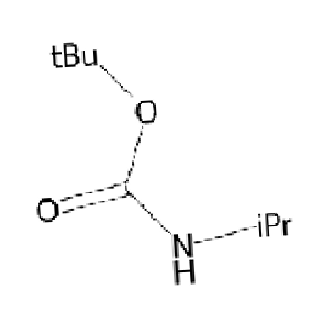 [CH2]C(C)NC(=O)OC(C)(C)C